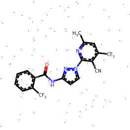 Cc1cc(C(F)(F)F)c(C#N)c(-n2ccc(NC(=O)c3ccccc3C(F)(F)F)n2)n1